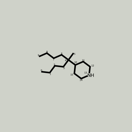 CCCCC(C)(CCCC)C1CCNCC1